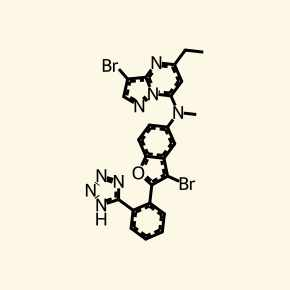 CCc1cc(N(C)c2ccc3oc(-c4ccccc4-c4nnn[nH]4)c(Br)c3c2)n2ncc(Br)c2n1